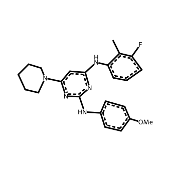 COc1ccc(Nc2nc(Nc3cccc(F)c3C)cc(N3CCCCC3)n2)cc1